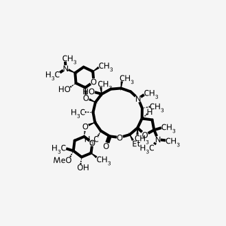 CC[C@H]1OC(=O)[C@H](C)[C@@H](O[C@H]2C[C@@](C)(OC)[C@@H](O)[C@H](C)O2)[C@H](C)[C@@H](O[C@@H]2O[C@H](C)C[C@H](N(C)C)[C@H]2O)[C@](C)(O)C[C@@H](C)CN(C)[C@H](C)[C@H]2CC(C)(N(C)C)O[C@@]21C